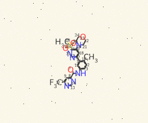 Cc1ccc(NC(=O)c2cc(C(F)(F)F)ncn2)cc1-c1cc(N2CCOCC2)c(S(C)(=O)=O)nn1